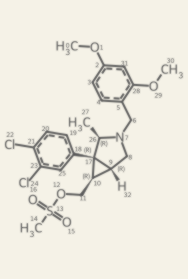 COc1ccc(CN2C[C@@H]3[C@@H](COS(C)(=O)=O)[C@]3(c3ccc(Cl)c(Cl)c3)[C@H]2C)c(OC)c1